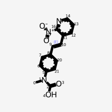 CN(C(=O)O)c1ccc(/C=C/c2cccnc2[N+](=O)[O-])cc1